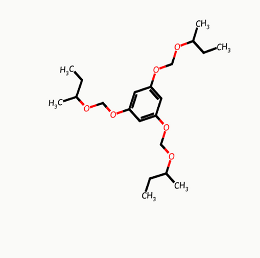 CCC(C)OCOc1cc(OCOC(C)CC)cc(OCOC(C)CC)c1